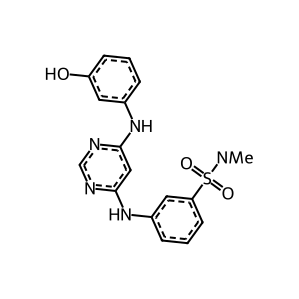 CNS(=O)(=O)c1cccc(Nc2cc(Nc3cccc(O)c3)ncn2)c1